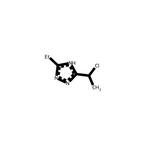 CCc1nnc(C(C)Cl)[nH]1